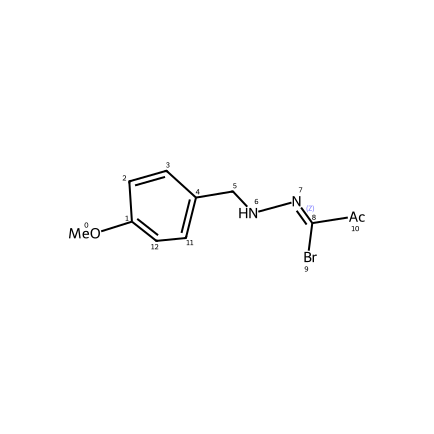 COc1ccc(CN/N=C(\Br)C(C)=O)cc1